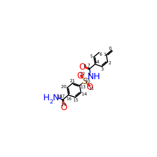 C=C/C=C\C(=C/C)C(=O)NS(=O)(=O)c1ccc(C(N)=O)cc1